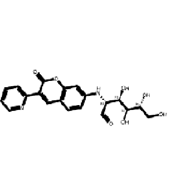 O=C[C@H](Nc1ccc2cc(-c3ccccn3)c(=O)oc2c1)[C@@H](O)[C@H](O)[C@H](O)CO